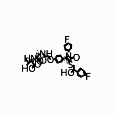 CC(C)[C@@H](NC(=O)[C@H](C)NC(=O)COc1ccc([C@@H]2[C@@H](SCC(O)c3ccc(F)cc3)C(=O)N2c2ccc(F)cc2)cc1)C(=O)O